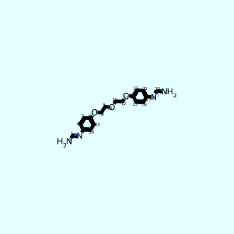 N/C=N/c1ccc(OCCOCCOc2ccc(/N=C/N)cc2)cc1